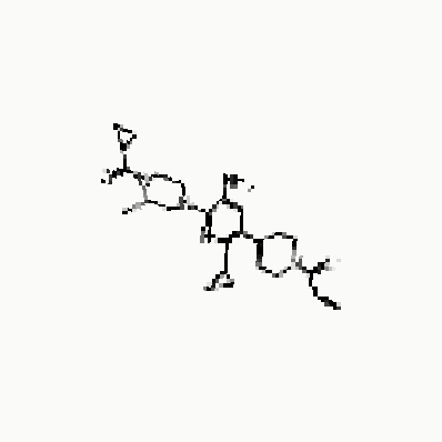 C=CC(=O)N1CC=C(c2cc(N)c(N3CCN(C(=O)C4CC4)[C@H](C)C3)nc2C2CC2)CC1